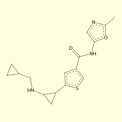 Cc1ncc(NC(=O)c2csc(C3CC3NCC3CC3)c2)o1